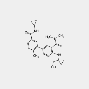 Cc1ccc(C(=O)NC2CC2)cc1-c1cnc(NC2(CO)CC2)c(C(=O)N(C)C)c1